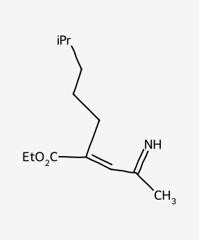 CCOC(=O)/C(=C/C(C)=N)CCCC(C)C